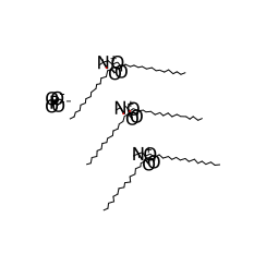 CCCCCCCCCCCCCCCC(=O)OC(C[N+](C)(C)C)C(=O)CCCCCCCCCCCCCCC.CCCCCCCCCCCCCCCC(=O)OC(C[N+](C)(C)C)C(=O)CCCCCCCCCCCCCCC.CCCCCCCCCCCCCCCC(=O)OC(C[N+](C)(C)C)C(=O)CCCCCCCCCCCCCCC.O=P([O-])([O-])[O-]